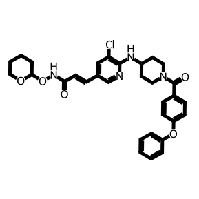 O=C(C=Cc1cnc(NC2CCN(C(=O)c3ccc(Oc4ccccc4)cc3)CC2)c(Cl)c1)NOC1CCCCO1